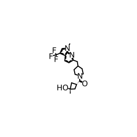 Cn1cc(C(F)(F)F)c2ccc(CC3CCN(C(=O)[C@H]4C[C@@](C)(O)C4)CC3)nc21